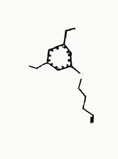 O=CCCCNc1cc(CO)cc(CO)c1